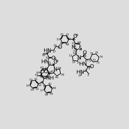 CNC(C)C(=O)NC(C(=O)N1CCCC1c1nc(C(=O)c2cccc(OCCNC(C)C(=O)NC(C(=O)N3CCCC3C(=O)NC(C(C)=O)C(c3ccccc3)c3ccccc3)C3CCCCC3)c2)cs1)C1CCCCC1